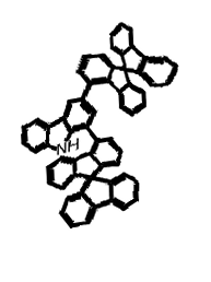 c1ccc2c(c1)-c1ccccc1C21c2ccccc2-c2c(-c3cc(-c4cccc5c4-c4ccccc4C54c5ccccc5-c5ccccc54)c4[nH]c5ccccc5c4c3)cccc21